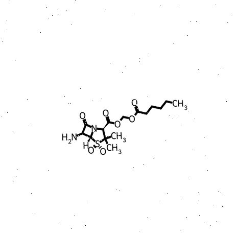 CCCCCC(=O)OCOC(=O)[C@@H]1N2C(=O)C(N)[C@H]2S(=O)(=O)C1(C)C